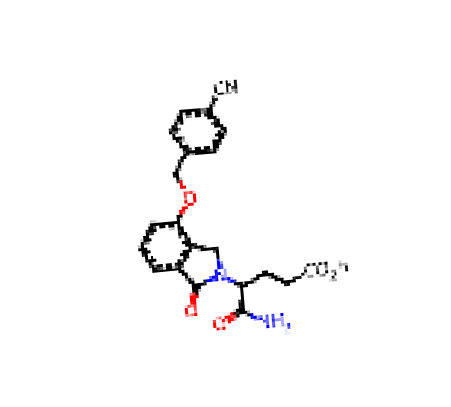 N#Cc1ccc(COc2cccc3c2CN(C(CCC(=O)O)C(N)=O)C3=O)cc1